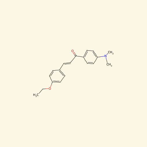 CCOc1ccc(C=CC(=O)c2ccc(N(C)C)cc2)cc1